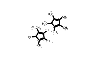 CC1=C(C)C(C)C(C)=C1C.CC1=C(C)C(C)C(C)=C1C.[Zr]